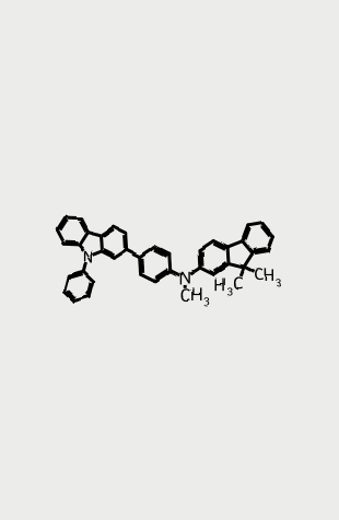 CN(c1ccc(-c2ccc3c4ccccc4n(-c4ccccc4)c3c2)cc1)c1ccc2c(c1)C(C)(C)c1ccccc1-2